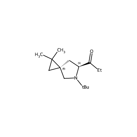 CCC(=O)[C@@H]1C[C@]2(CN1C(C)(C)C)CC2(C)C